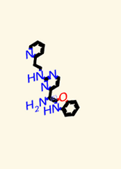 N/C(=C1\Nc2ccccc2O1)c1ccnc(NCCc2ccccn2)n1